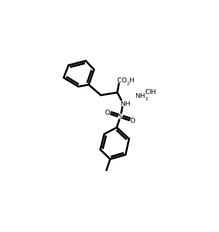 Cc1ccc(S(=O)(=O)NC(Cc2ccccc2)C(=O)O)cc1.Cl.N